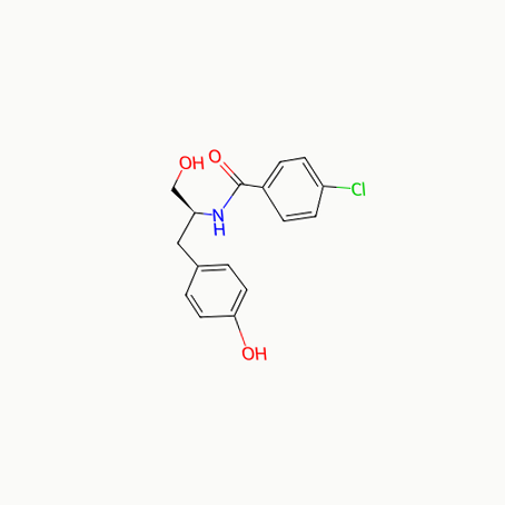 O=C(N[C@H](CO)Cc1ccc(O)cc1)c1ccc(Cl)cc1